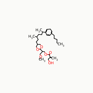 C=C(CO)C(=O)OCC(COC)C1OCC(CCC(C)CCC(C)C2=CCC=C(CCCCC)C=C2)CO1